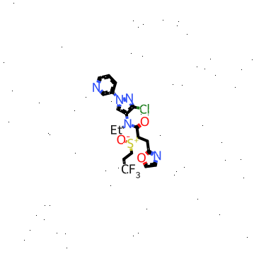 CCN(C(=O)C(Cc1ncco1)[S+]([O-])CCC(F)(F)F)c1cn(-c2cccnc2)nc1Cl